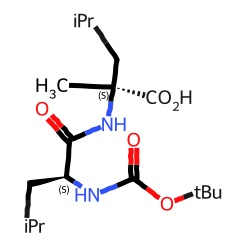 CC(C)C[C@H](NC(=O)OC(C)(C)C)C(=O)N[C@@](C)(CC(C)C)C(=O)O